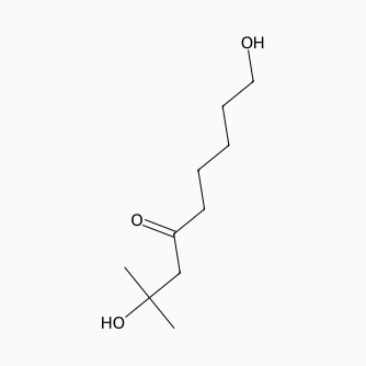 CC(C)(O)CC(=O)CCCCCO